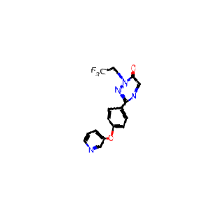 O=c1cnc(-c2ccc(Oc3cccnc3)cc2)nn1CC(F)(F)F